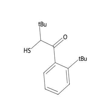 CC(C)(C)c1ccccc1C(=O)C(S)C(C)(C)C